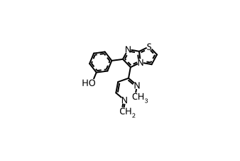 C=N/C=C\C(=N/C)c1c(-c2cccc(O)c2)nc2sccn12